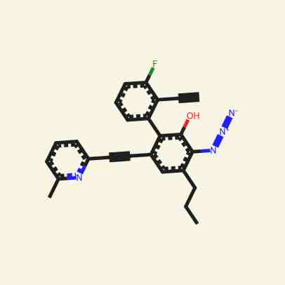 C#Cc1c(F)cccc1-c1c(C#Cc2cccc(C)n2)cc(CCC)c(N=[N+]=[N-])c1O